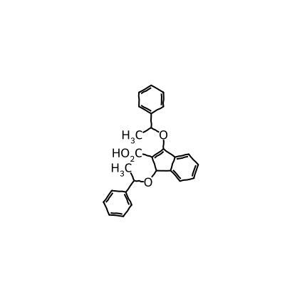 CC(OC1=C(C(=O)O)C(OC(C)c2ccccc2)c2ccccc21)c1ccccc1